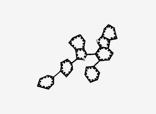 c1ccc(-c2ccc(-c3sc(-c4c(-c5ccccc5)ccc5c4sc4ccccc45)c4ccccc34)cc2)cc1